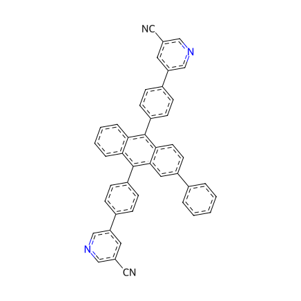 N#Cc1cncc(-c2ccc(-c3c4ccccc4c(-c4ccc(-c5cncc(C#N)c5)cc4)c4cc(-c5ccccc5)ccc34)cc2)c1